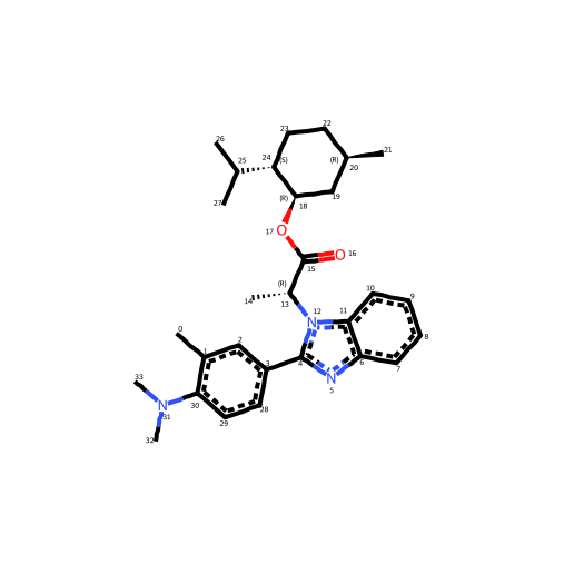 Cc1cc(-c2nc3ccccc3n2[C@H](C)C(=O)O[C@@H]2C[C@H](C)CC[C@H]2C(C)C)ccc1N(C)C